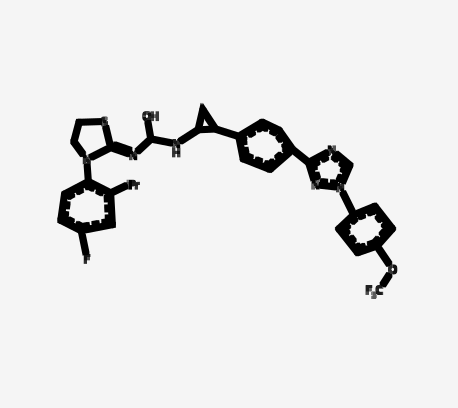 CC(C)c1cc(F)ccc1N1CCS/C1=N\C(O)NC1CC1c1ccc(-c2ncn(-c3ccc(OC(F)(F)F)cc3)n2)cc1